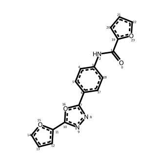 O=C(Nc1ccc(-c2nnc(-c3ccco3)o2)cc1)c1ccco1